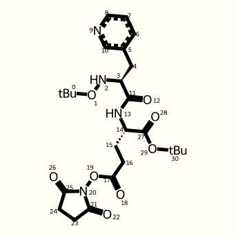 CC(C)(C)ON[C@@H](Cc1cccnc1)C(=O)N[C@@H](CCC(=O)ON1C(=O)CCC1=O)C(=O)OC(C)(C)C